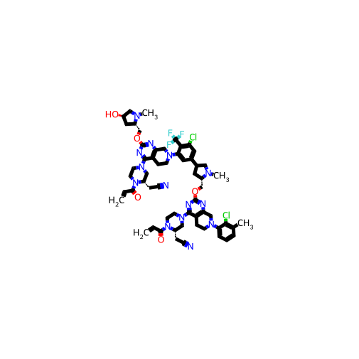 C=CC(=O)N1CCN(c2nc(OC[C@@H]3CC(c4cc(Cl)c(C(F)(F)F)c(N5CCc6c(nc(OC[C@@H]7C[C@@H](O)CN7C)nc6N6CCN(C(=O)C=C)[C@@H](CC#N)C6)C5)c4)CN3C)nc3c2CCN(c2cccc(C)c2Cl)C3)C[C@@H]1CC#N